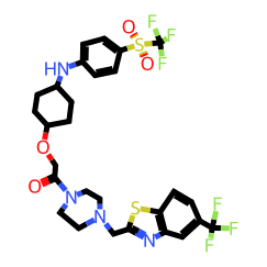 O=C(COC1CCC(Nc2ccc(S(=O)(=O)C(F)(F)F)cc2)CC1)N1CCN(Cc2nc3cc(C(F)(F)F)ccc3s2)CC1